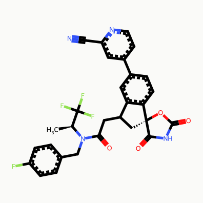 C[C@H](N(Cc1ccc(F)cc1)C(=O)CC1C[C@@]2(OC(=O)NC2=O)c2ccc(-c3ccnc(C#N)c3)cc21)C(F)(F)F